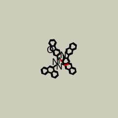 c1ccc2cc(-c3nc(-c4cc5oc6ccccc6c5cc4-n4c5ccccc5c5cc6ccccc6cc54)nc(-c4cc5ccccc5c5ccccc45)n3)ccc2c1